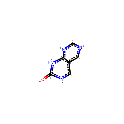 O=c1ncc2cncnc2[nH]1